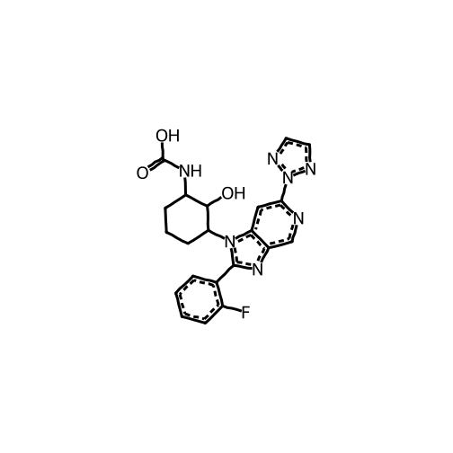 O=C(O)NC1CCCC(n2c(-c3ccccc3F)nc3cnc(-n4nccn4)cc32)C1O